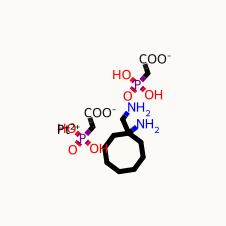 NCC1(N)CCCCCCC1.O=C([O-])CP(=O)(O)O.O=C([O-])CP(=O)(O)O.[Pt+2]